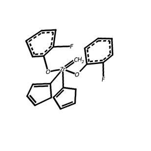 [CH2]=[Zr]([O]c1ccccc1F)([O]c1ccccc1F)([C]1=CC=CC1)[C]1=CC=CC1